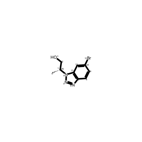 C[C@H](CO)n1nnc2ccc(Br)cc21